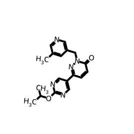 Cc1cncc(Cn2nc(-c3cnc(OC(C)C)nc3)ccc2=O)c1